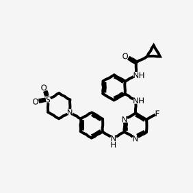 O=C(Nc1ccccc1Nc1nc(Nc2ccc(N3CCS(=O)(=O)CC3)cc2)ncc1F)C1CC1